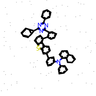 C1=CC2C(C=C1)C2c1nc(-c2ccccc2)nc(-c2ccccc2-c2cccc3sc4cc(-c5cccc(N(c6ccccc6)c6cccc7c6CCC=C7)c5)ccc4c23)n1